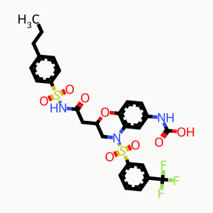 CCCc1ccc(S(=O)(=O)NC(=O)CC2CN(S(=O)(=O)c3cccc(C(F)(F)F)c3)c3cc(NC(=O)O)ccc3O2)cc1